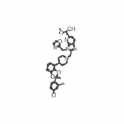 COC(O)c1ccc2nc(CN3CCC(c4cccc5c4OC(C)(c4ccc(Cl)cc4F)O5)CC3)n(Cc3ncco3)c2n1